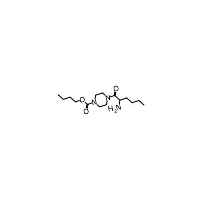 CCCCOC(=O)N1CCN(C(=O)C(N)CCCC)CC1